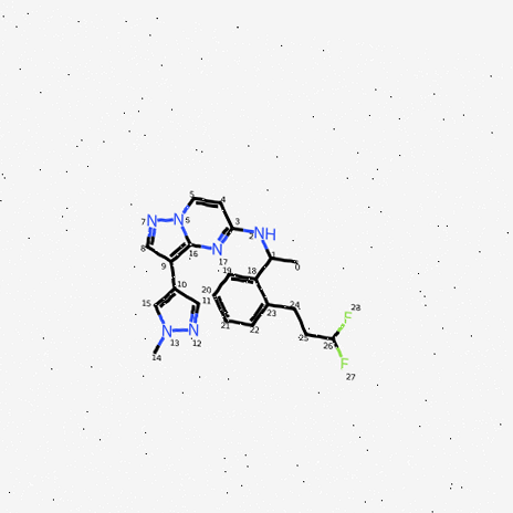 CC(Nc1ccn2ncc(-c3cnn(C)c3)c2n1)c1ccccc1CCC(F)F